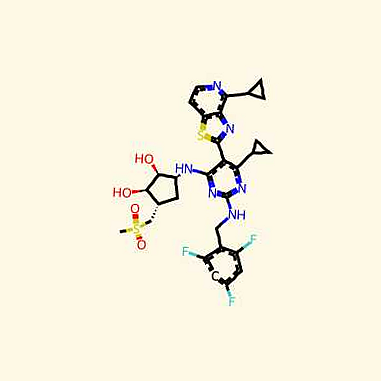 CS(=O)(=O)C[C@H]1C[C@@H](Nc2nc(NCc3c(F)cc(F)cc3F)nc(C3CC3)c2-c2nc3c(C4CC4)nccc3s2)[C@H](O)[C@@H]1O